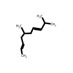 CC=CCC(C)[CH]C=CC(C)C